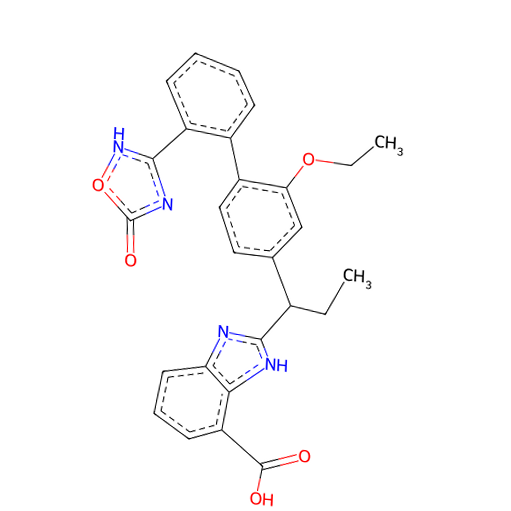 CCOc1cc(C(CC)c2nc3cccc(C(=O)O)c3[nH]2)ccc1-c1ccccc1-c1nc(=O)o[nH]1